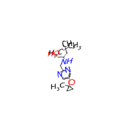 CC(C)(C)C[C@H](CO)NCc1ncc(OC2(C)CC2)cn1